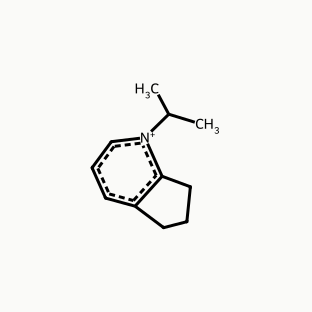 CC(C)[n+]1cccc2c1CCC2